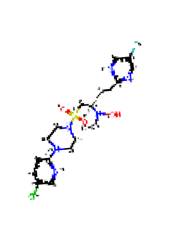 O=CN(O)[C@@H](CCc1ncc(F)cn1)CS(=O)(=O)N1CCN(c2ccc(Cl)cn2)CC1